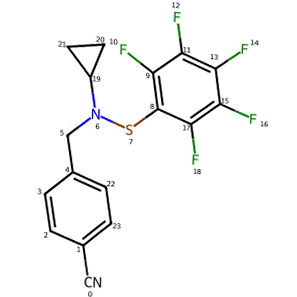 N#Cc1ccc(CN(Sc2c(F)c(F)c(F)c(F)c2F)C2CC2)cc1